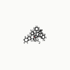 NCc1cc2ccccc2cc1-c1ccc2c(c1)C1(c3ccccc3-2)c2ccccc2-n2c3ccccc3c3cccc1c32